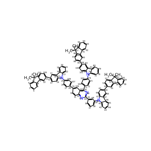 CC1(C)c2ccccc2-c2cc(-c3ccc4c(c3)c3ccccc3n4-c3ccc(-c4ccc5nc(-c6cccc(-n7c8ccccc8c8cc(-c9ccc%10c(c9)-c9ccccc9C%10(C)C)ccc87)c6)nc(-c6ccc(-n7c8ccccc8c8cc(-c9ccc%10c(c9)-c9ccccc9C%10(C)C)ccc87)cc6)c5c4)cc3)ccc21